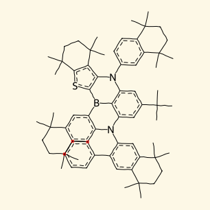 CC(C)(C)c1cc2c3c(c1)N(c1ccc4c(c1)C(C)(C)CCC4(C)C)c1c(sc4c1C(C)(C)CCC4(C)C)B3c1cc3c(cc1N2c1cc2c(cc1-c1ccccc1)C(C)(C)CCC2(C)C)C(C)(C)CCC3(C)C